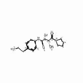 CCCc1ccc(NC(=O)[C@H](O)[C@@H](O)C(=O)N2CCCC2)cc1